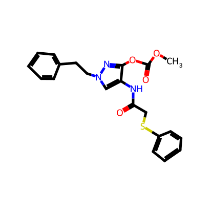 COC(=O)Oc1nn(CCc2ccccc2)cc1NC(=O)CSc1ccccc1